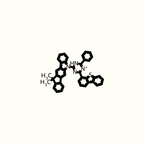 CC1(C)c2ccccc2-c2cc3c(cc21)c1ccccc1n3C1=NC(c2cccc3c2sc2ccccc23)=[N+]=C(c2ccccc2)N1